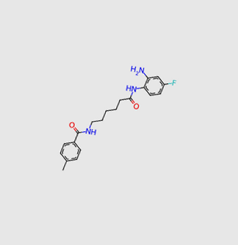 Cc1ccc(C(=O)NCCCCCC(=O)Nc2ccc(F)cc2N)cc1